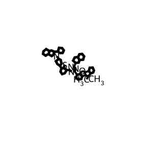 CC1(C)c2ccccc2C2Oc3c(-c4nc(-c5ccc6ccccc6c5)nc(-c5cccc6c5sc5cc(-n7c8ccccc8c8cc9ccccc9cc87)ccc56)n4)cccc3C21